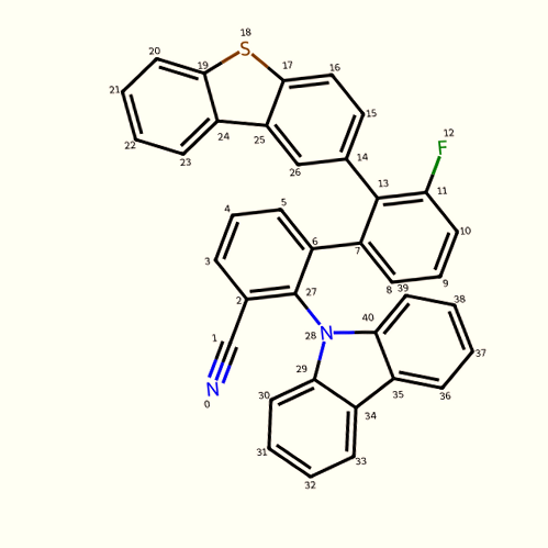 N#Cc1cccc(-c2cccc(F)c2-c2ccc3sc4ccccc4c3c2)c1-n1c2ccccc2c2ccccc21